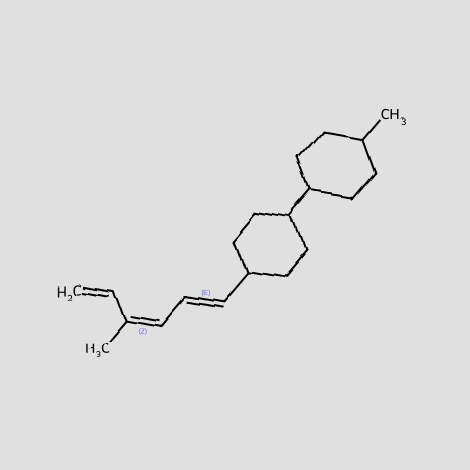 C=C/C(C)=C\C=C\C1CCC(C2CCC(C)CC2)CC1